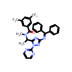 CC(c1nc(N=C(c2ccccc2)c2ccccc2)nn1-c1ncccn1)N(C)C(=O)c1cc(C(F)(F)F)cc(C(F)(F)F)c1